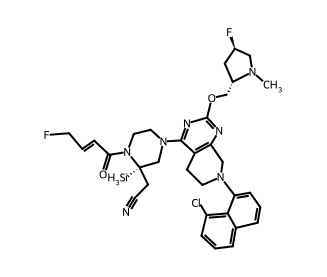 CN1C[C@H](F)C[C@H]1COc1nc2c(c(N3CCN(C(=O)/C=C/CF)[C@]([SiH3])(CC#N)C3)n1)CCN(c1cccc3cccc(Cl)c13)C2